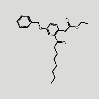 CCCCCCCC(=O)c1cc(OCc2ccccc2)ccc1CC(=O)OCC